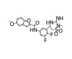 COc1ccc2oc(C(=O)Nc3cc(F)c(F)c([C@]4(C)CS(=O)(=O)N(C)C(=N)N4)c3)cc2c1